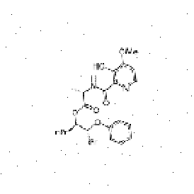 CCC[C@@H](OC(=O)[C@H](C)NC(=O)c1nccc(OC)c1O)[C@H](Oc1ccccc1)C(C)C